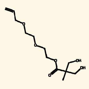 C=CCOCCOCCOC(=O)C(C)(CO)CO